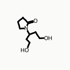 O=C1CCCN1C(CCO)CCO